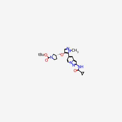 Cn1ncc(OC[C@@H]2CCN(C(=O)OC(C)(C)C)C2)c1-c1ccn2nc(NC(=O)C3CC3)cc2c1